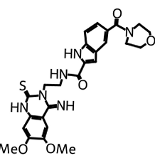 COc1cc2[nH]c(=S)n(CCNC(=O)c3cc4cc(C(=O)N5CCOCC5)ccc4[nH]3)c(=N)c2cc1OC